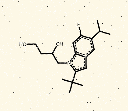 CC(C)c1cc2cc(C(C)(C)C)n(CC(O)CCO)c2cc1F